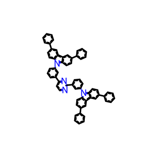 c1ccc(-c2ccc3c(c2)c2cc(-c4ccccc4)ccc2n3-c2cccc(-c3ccnc(-c4cccc(-n5c6ccc(-c7ccccc7)cc6c6cc(-c7ccccc7)ccc65)c4)n3)c2)cc1